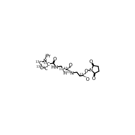 CC(C)N1[13CH2][13CH2][13CH2][13CH]1C(=O)NC[13CH2][13C](=O)[15NH]CC[13C](=O)ON1C(=O)CCC1=O